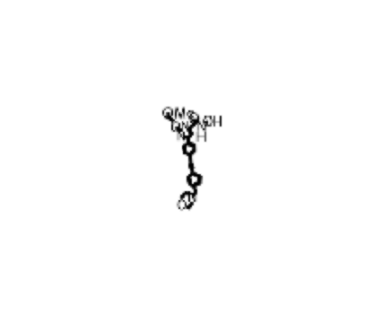 COCCOc1nc(C(=O)NO)cc(-c2ccc(C#Cc3ccc(CN4CCOCC4)cc3)cc2)n1